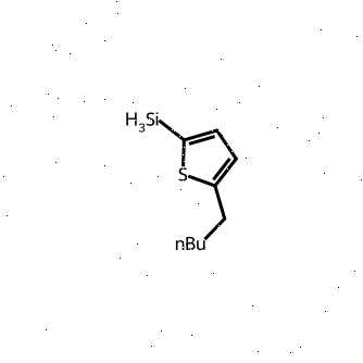 CCCCCc1ccc([SiH3])s1